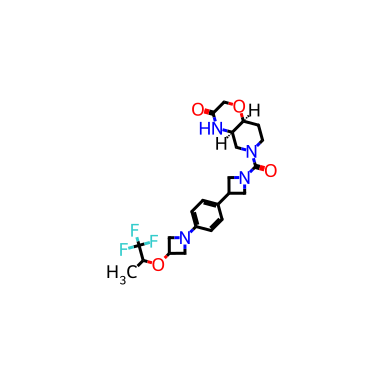 CC(OC1CN(c2ccc(C3CN(C(=O)N4CC[C@@H]5OCC(=O)N[C@@H]5C4)C3)cc2)C1)C(F)(F)F